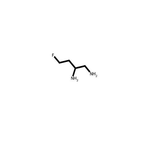 NCC(N)CCF